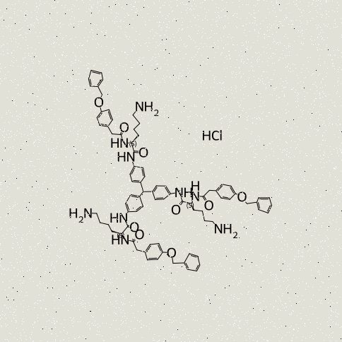 Cl.NCCCC[C@H](NC(=O)Cc1ccc(OCc2ccccc2)cc1)C(=O)Nc1ccc(C(c2ccc(NC(=O)[C@H](CCCCN)NC(=O)Cc3ccc(OCc4ccccc4)cc3)cc2)c2ccc(NC(=O)[C@H](CCCCN)NC(=O)Cc3ccc(OCc4ccccc4)cc3)cc2)cc1